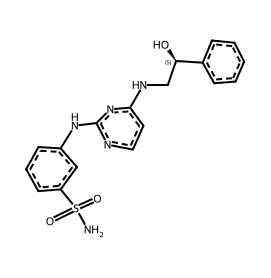 NS(=O)(=O)c1cccc(Nc2nccc(NC[C@@H](O)c3ccccc3)n2)c1